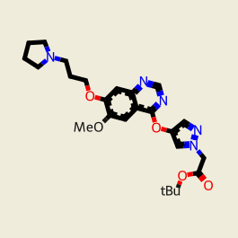 COc1cc2c(Oc3cnn(CC(=O)OC(C)(C)C)c3)ncnc2cc1OCCCN1CCCC1